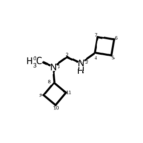 CN(CNC1CCC1)C1CCC1